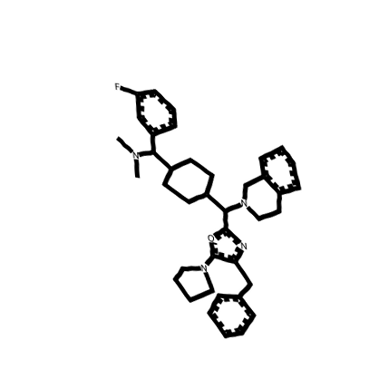 CN(C)C(c1cccc(F)c1)C1CCC(C(c2nc(Cc3ccccc3)c(N3CCCC3)o2)N2CCc3ccccc3C2)CC1